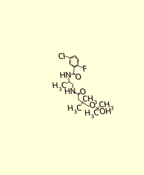 CC(CNC(=O)CC(C)(C)COC(C)(C)O)NC(=O)c1cc(Cl)ccc1F